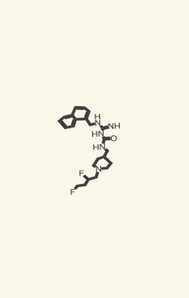 N=C(NCc1cccc2ccccc12)NC(=O)NCC1CCN(CC(F)CCF)CC1